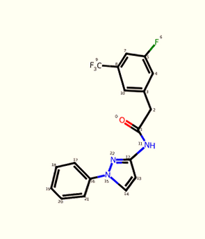 O=C(Cc1cc(F)cc(C(F)(F)F)c1)Nc1ccn(-c2ccccc2)n1